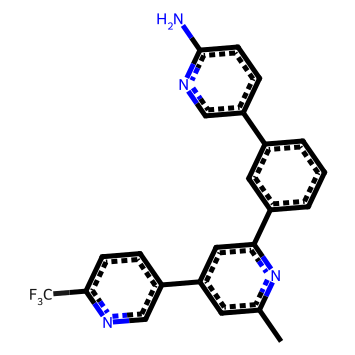 Cc1cc(-c2ccc(C(F)(F)F)nc2)cc(-c2cccc(-c3ccc(N)nc3)c2)n1